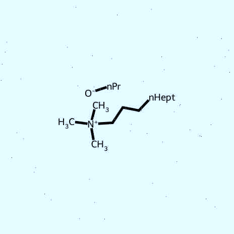 CCCCCCCCCC[N+](C)(C)C.CCC[O-]